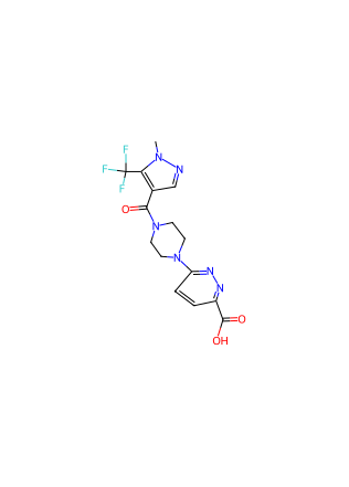 Cn1ncc(C(=O)N2CCN(c3ccc(C(=O)O)nn3)CC2)c1C(F)(F)F